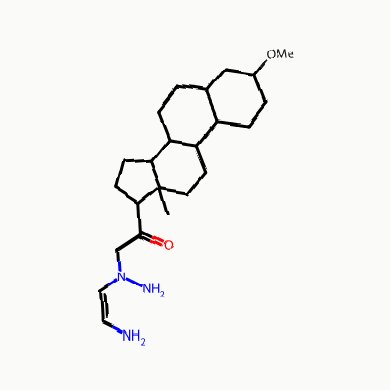 COC1CCC2C(CCC3C2CCC2(C)C(C(=O)CN(N)/C=C\N)CCC32)C1